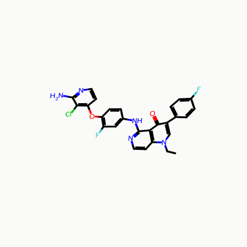 CCn1cc(-c2ccc(F)cc2)c(=O)c2c(Nc3ccc(Oc4ccnc(N)c4Cl)c(F)c3)nccc21